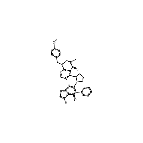 COc1ccc(CN2CN(C)C(=O)c3c2ncnc3N2CCCC2c2nn3ccc(Cl)c3c(=O)n2-c2ccccc2)cc1